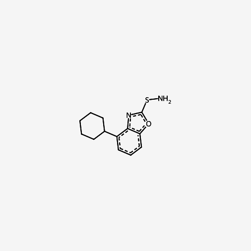 NSc1nc2c(C3CCCCC3)cccc2o1